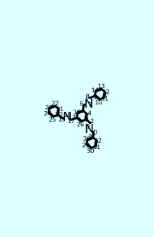 C(=NCc1cc(CN=Cc2ccccc2)cc(CN=Cc2ccccc2)c1)c1ccccc1